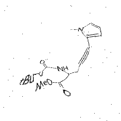 COC(=O)C(CC#Cc1cccn1C)NC(=O)OC(C)(C)C